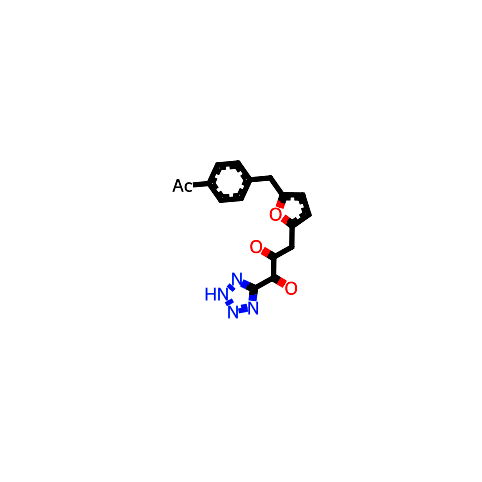 CC(=O)c1ccc(Cc2ccc(CC(=O)C(=O)c3nn[nH]n3)o2)cc1